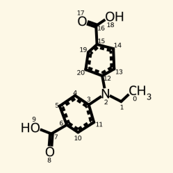 CCN(c1ccc(C(=O)O)cc1)c1ccc(C(=O)O)cc1